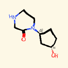 O=C1CNCCN1[C@H]1CC[C@H](O)C1